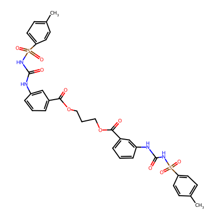 Cc1ccc(S(=O)(=O)NC(=O)Nc2cccc(C(=O)OCCCOC(=O)c3cccc(NC(=O)NS(=O)(=O)c4ccc(C)cc4)c3)c2)cc1